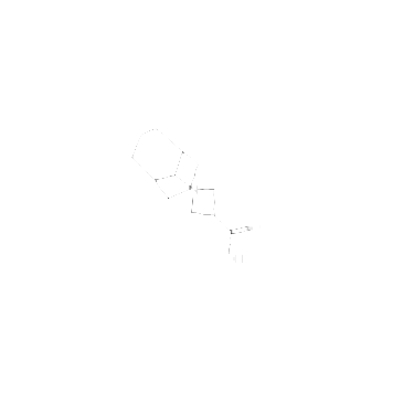 O=C(O)C1CN(C2C3CCCC2CCC3)C1